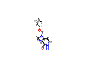 C[Si](C)(C)CCOCn1cnc2c(=O)[nH]ccc21